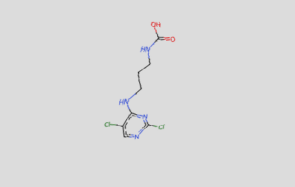 O=C(O)NCCCNc1nc(Cl)ncc1Cl